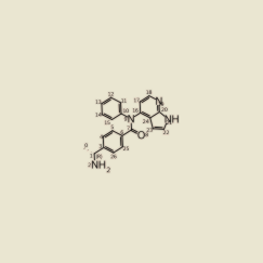 C[C@@H](N)c1ccc(C(=O)N(c2ccccc2)c2ccnc3[nH]ccc23)cc1